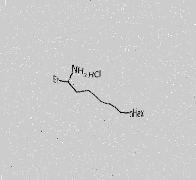 CCCCCCCCCCCC(N)CC.Cl